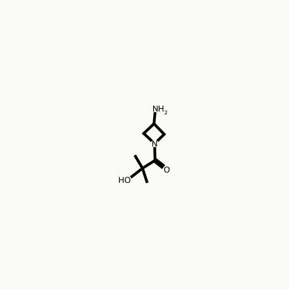 CC(C)(O)C(=O)N1CC(N)C1